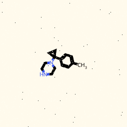 Cc1ccc(C2(N3CCNCC3)CC2)cc1